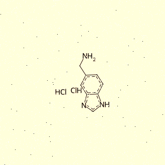 Cl.Cl.NCc1ccc2[nH]cnc2c1